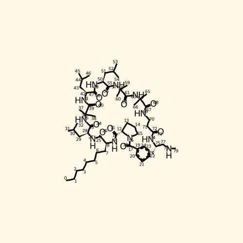 CCCCCCCC[C@H](NC(=O)[C@@H]1CCCN1C(=O)c1ccccc1)C(=O)N[C@@H](CC(C)C)C(=O)NC(C)(C)C(=O)N[C@@H](CC(C)C)C(=O)N[C@@H](CC(C)C)C(=O)NC(C)(C)C(=O)NC(C)(C)C(=O)NCCC(=O)N[C@@H](C)CNC